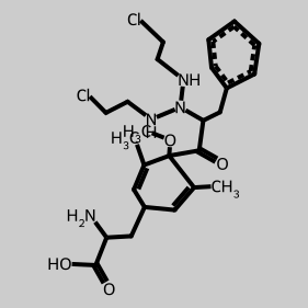 COC1(C(=O)C(Cc2ccccc2)N(NCCCl)NCCCl)C(C)=CC(CC(N)C(=O)O)C=C1C